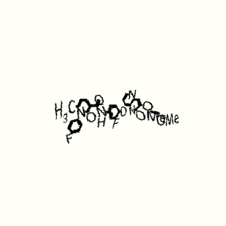 COCCOc1cc2nccc(Oc3ccc(NC(=O)c4ccc(C)n(-c5ccc(F)cc5)c4=O)cc3F)c2nc1OC